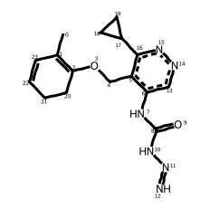 CC1=C(OCc2c(NC(=O)NN=N)cnnc2C2CC2)CCC=C1